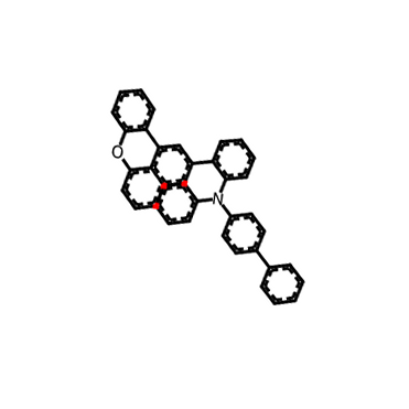 c1ccc(-c2ccc(N(c3ccccc3)c3ccccc3-c3cc4c5c(cccc5c3)Oc3ccccc3-4)cc2)cc1